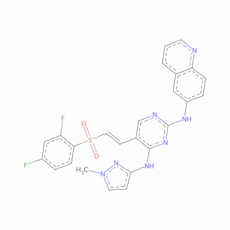 Cn1ccc(Nc2nc(Nc3ccc4ncccc4c3)ncc2/C=C/S(=O)(=O)c2ccc(F)cc2F)n1